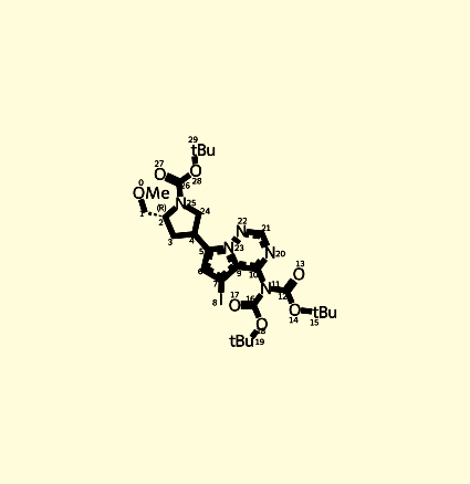 COC[C@H]1CC(c2cc(I)c3c(N(C(=O)OC(C)(C)C)C(=O)OC(C)(C)C)ncnn23)CN1C(=O)OC(C)(C)C